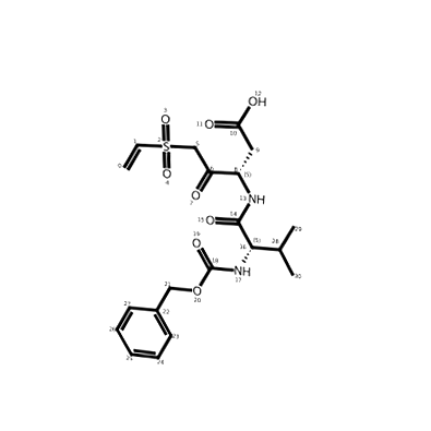 C=CS(=O)(=O)CC(=O)[C@H](CC(=O)O)NC(=O)[C@@H](NC(=O)OCc1ccccc1)C(C)C